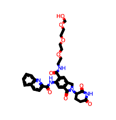 O=C1CCC(N2Cc3cc(C(=O)NCCOCCOCCOCO)c(NC(=O)c4ccc5ccccc5n4)cc3C2=O)C(=O)N1